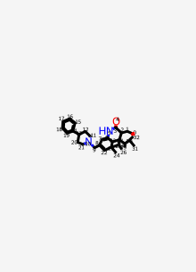 CCC1C(=O)NC2=CC(CN3CCC(c4ccccc4)CC3)=CC3(C)C(C)C1(C(C)C(C)C)C23